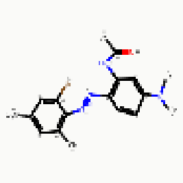 CCCN(CC)c1ccc(/N=N/c2c(Br)cc([N+](=O)[O-])cc2C#N)c(NC(=O)CC)c1